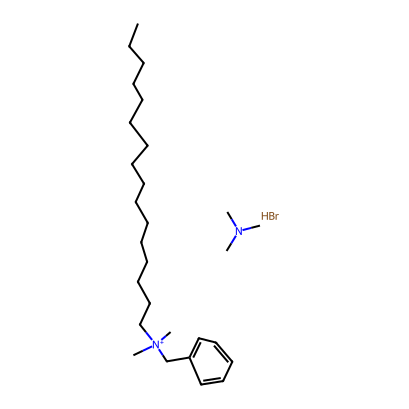 Br.CCCCCCCCCCCCCCCC[N+](C)(C)Cc1ccccc1.CN(C)C